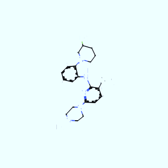 CN1CCN(c2ccc([N+](=O)[O-])c(Nc3ccccc3N3CCCC(F)C3)n2)CC1